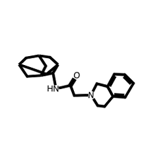 O=C(CN1CCc2ccccc2C1)NC1C2CC3CC(C2)CC1C3